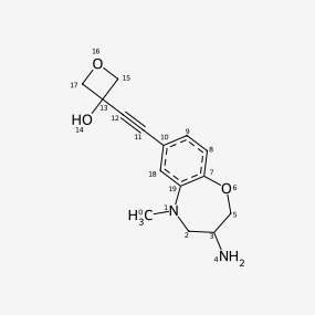 CN1CC(N)COc2ccc(C#CC3(O)COC3)cc21